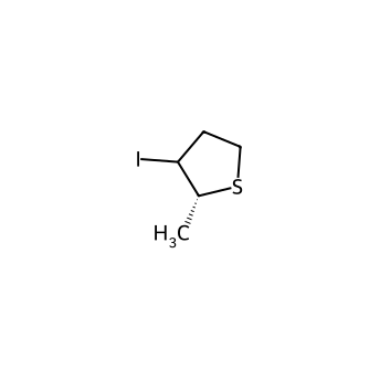 C[C@H]1SCCC1I